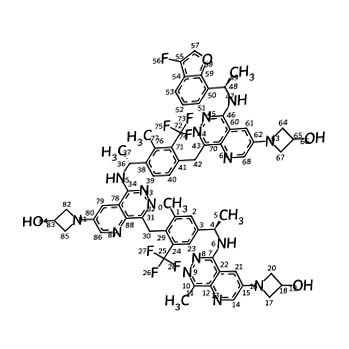 Cc1cc([C@@H](C)Nc2nnc(C)c3ncc(N4CC(O)C4)cc23)cc(C(F)(F)F)c1Cc1nnc(N[C@H](C)c2ccc(Cc3nnc(N[C@H](C)c4cccc5c(F)coc45)c4cc(N5CC(O)C5)cnc34)c(C(F)(F)F)c2C)c2cc(N3CC(O)C3)cnc12